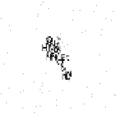 CCc1cc(N2CC(c3ncccn3)C2)ccc1C1Cc2nn(CCC3CC3)c(NC(=O)C[S+](C)[O-])c2C(=O)N1